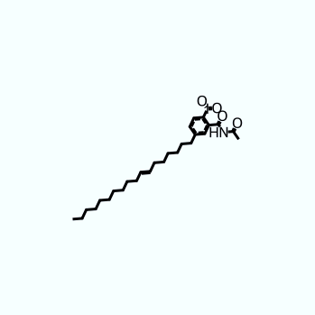 CCCCCCCCCCC=CCCCCCCc1ccc(I(=O)=O)c(C(=O)NC(C)=O)c1